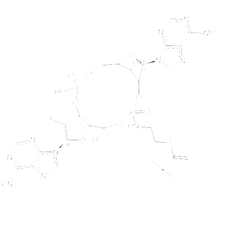 C=C(SCCNP1(=O)OC[C@H]2O[C@@H](n3cnc4c(N)ncnc43)C(F)C2OP(=O)(O)OCC2O[C@@H](n3cnc4c(N)ncnc43)C(O1)C2O)C(C)(C)C